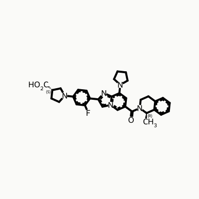 C[C@@H]1c2ccccc2CCN1C(=O)c1cc(N2CCCC2)c2nc(-c3ccc(N4CC[C@H](C(=O)O)C4)cc3F)cn2c1